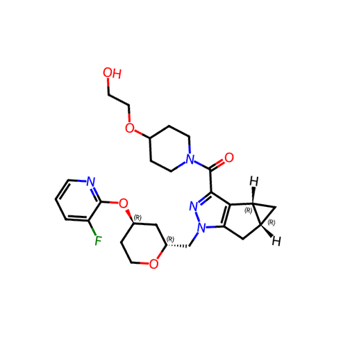 O=C(c1nn(C[C@H]2C[C@H](Oc3ncccc3F)CCO2)c2c1[C@@H]1C[C@@H]1C2)N1CCC(OCCO)CC1